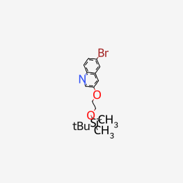 CC(C)(C)[Si](C)(C)OCCOc1cnc2ccc(Br)cc2c1